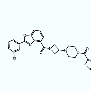 O=C(c1nccs1)N1CCN(C2CN(C(=O)c3cccc4oc(-c5cccc(Cl)c5)nc34)C2)CC1